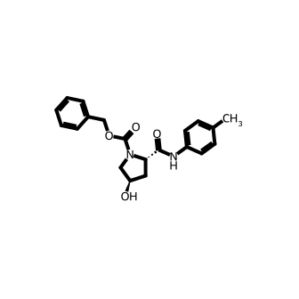 Cc1ccc(NC(=O)[C@@H]2C[C@@H](O)CN2C(=O)OCc2ccccc2)cc1